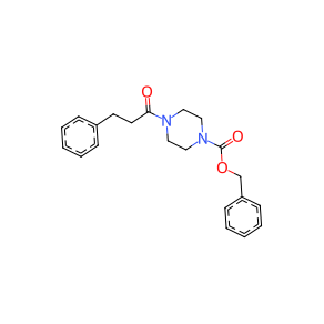 O=C(CCc1ccccc1)N1CCN(C(=O)OCc2ccccc2)CC1